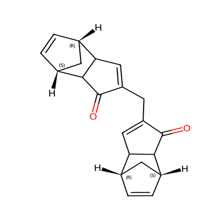 O=C1C(CC2=CC3C(C2=O)[C@@H]2C=C[C@H]3C2)=CC2C1[C@@H]1C=C[C@H]2C1